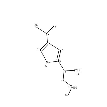 CNCC(O)c1cc(C(C)C)cs1